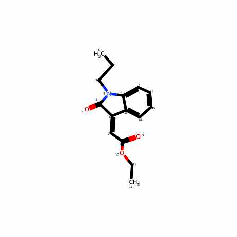 CCCN1C(=O)/C(=C/C(=O)OCC)c2ccccc21